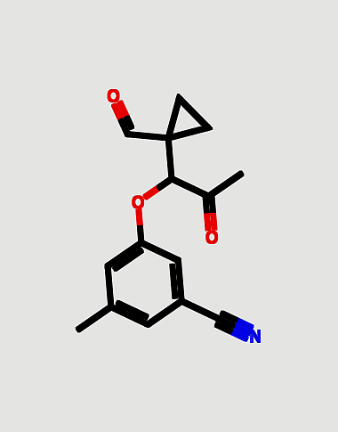 CC(=O)C(Oc1cc(C)cc(C#N)c1)C1(C=O)CC1